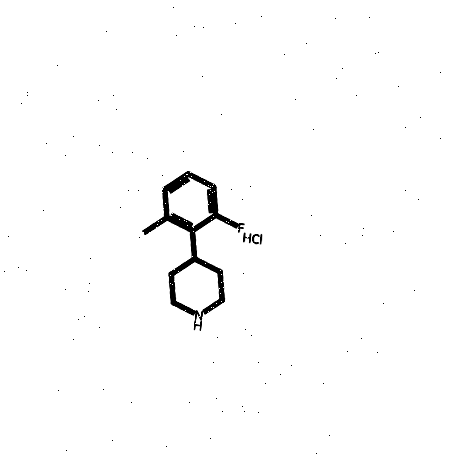 Cc1cccc(F)c1C1CCNCC1.Cl